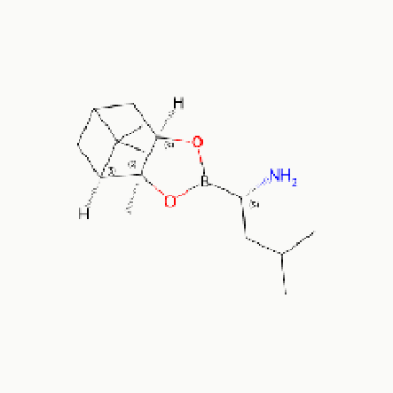 CC(C)C[C@@H](N)B1O[C@@H]2CC3C[C@@H](C3(C)C)[C@]2(C)O1